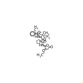 CCO[C@H]1CC(=O)O[C@H]1NC(=O)[N+]1(C(=O)[C@@H](NC(=O)c2ccccc2C)C(C)(C)C)CCCC1